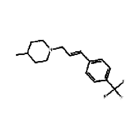 CC1CCN(C/C=C/c2ccc(C(F)(F)F)cc2)CC1